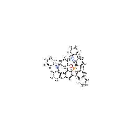 O=P1(c2ccccc2)c2cc3ccccc3cc2-c2ccc3c4ccccc4n(-c4ccc(N(c5ccccc5)c5ccccc5)cc4)c3c21